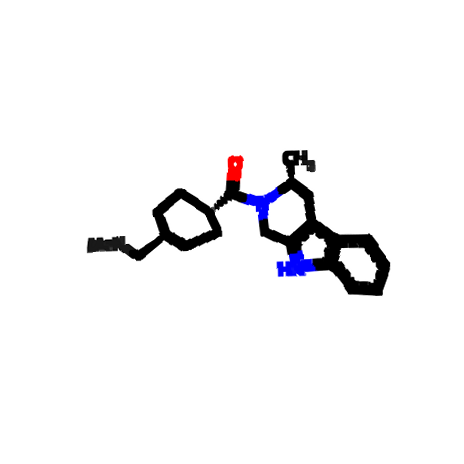 CNC[C@H]1CC[C@H](C(=O)N2Cc3[nH]c4ccccc4c3C[C@H]2C)CC1